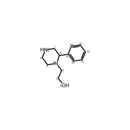 OCCN1CCNCC1c1ccccc1